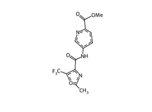 COC(=O)c1ccc(NC(=O)c2nc(C)oc2C(F)(F)F)cn1